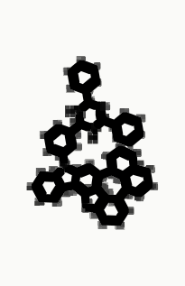 c1ccc(C2=NC(c3ccccc3)NC(c3cccc(-n4c5ccccc5c5c6sc7cccc8c7c6c(cc54)-c4cccc5cccc-8c45)c3)N2)cc1